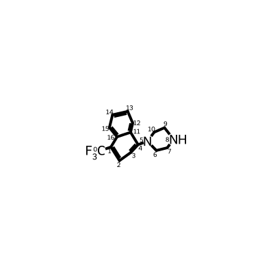 FC(F)(F)c1ccc(N2CCNCC2)c2ccccc12